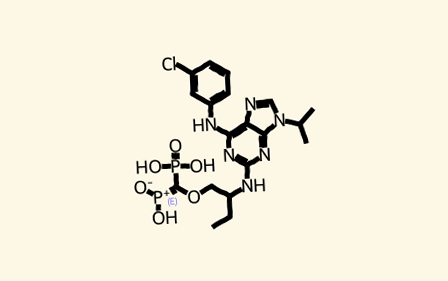 CCC(CO/C(=[P+](/[O-])O)P(=O)(O)O)Nc1nc(Nc2cccc(Cl)c2)c2ncn(C(C)C)c2n1